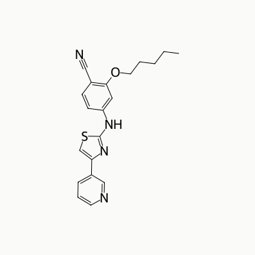 CCCCCOc1cc(Nc2nc(-c3cccnc3)cs2)ccc1C#N